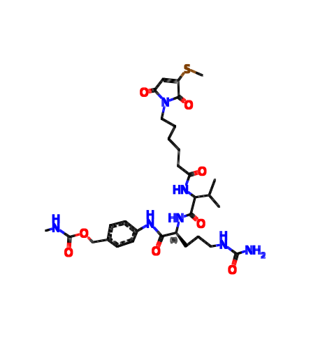 CNC(=O)OCc1ccc(NC(=O)[C@H](CCCNC(N)=O)NC(=O)C(NC(=O)CCCCCN2C(=O)C=C(SC)C2=O)C(C)C)cc1